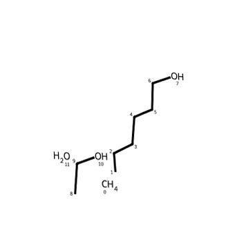 C.CCCCCCO.CCO.O